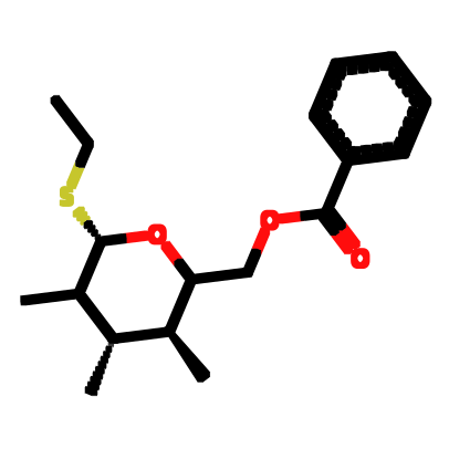 CCS[C@@H]1OC(COC(=O)c2ccccc2)[C@@H](C)[C@H](C)C1C